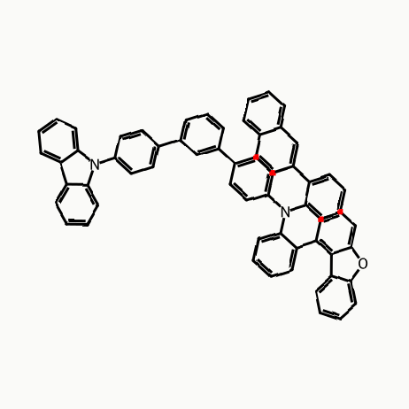 c1cc(-c2ccc(N(c3ccccc3-c3ccc4ccccc4c3)c3ccccc3-c3cccc4oc5ccccc5c34)cc2)cc(-c2ccc(-n3c4ccccc4c4ccccc43)cc2)c1